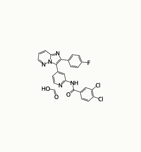 O=C(Nc1cc(-c2c(-c3ccc(F)cc3)nc3cccnn23)ccn1)c1ccc(Cl)c(Cl)c1.O=CO